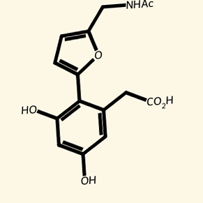 CC(=O)NCc1ccc(-c2c(O)cc(O)cc2CC(=O)O)o1